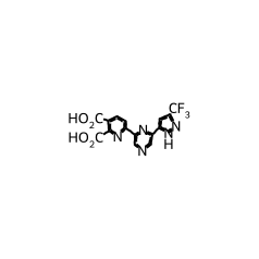 O=C(O)c1ccc(-c2cncc(-c3cc(C(F)(F)F)n[nH]3)n2)nc1C(=O)O